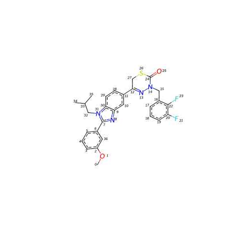 COc1cccc(-c2nc3cc(C4=NN(Cc5cccc(F)c5F)C(=O)SC4)ccc3n2CC(C)C)c1